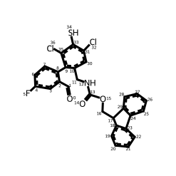 O=Cc1cc(F)ccc1-c1c(CNC(=O)OCC2c3ccccc3-c3ccccc32)cc(Cl)c(S)c1Cl